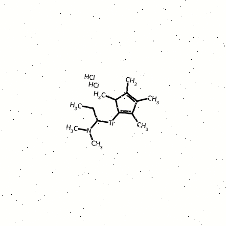 CC[CH]([Ti][C]1=C(C)C(C)=C(C)C1C)N(C)C.Cl.Cl